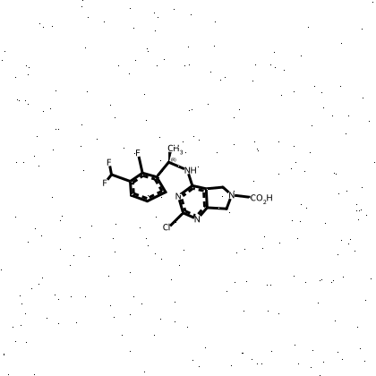 C[C@@H](Nc1nc(Cl)nc2c1CN(C(=O)O)C2)c1cccc(C(F)F)c1F